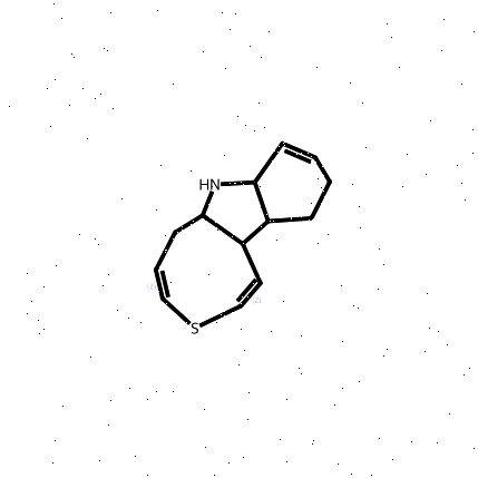 C1=CC2NC3C/C=C\S/C=C\C3C2CC1